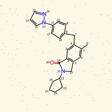 Cc1cc2c(cc1Cc1ccc(-n3cccn3)cc1)C(=O)N(C1CCCC1)C2